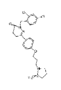 C[C@@H]1CCCN1CCCOc1ccc(C2=NN(Cc3ccc(Cl)cc3Cl)C(=O)CC2)cc1